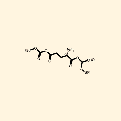 CC(C)(C)OC(=O)OC(=O)CC[C@H](N)C(=O)OC(C=O)OC(C)(C)C